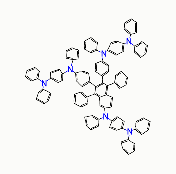 c1ccc(-c2c(-c3ccc(N(c4ccccc4)c4ccc(N(c5ccccc5)c5ccccc5)cc4)cc3)c(-c3ccc(N(c4ccccc4)c4ccc(N(c5ccccc5)c5ccccc5)cc4)cc3)c(-c3ccccc3)c3cc(N(c4ccccc4)c4ccc(N(c5ccccc5)c5ccccc5)cc4)ccc23)cc1